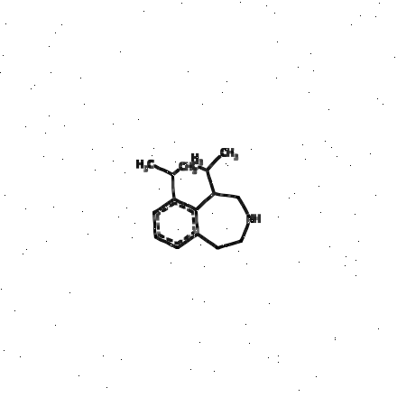 CC(C)c1cccc2c1C(C(C)C)CNCC2